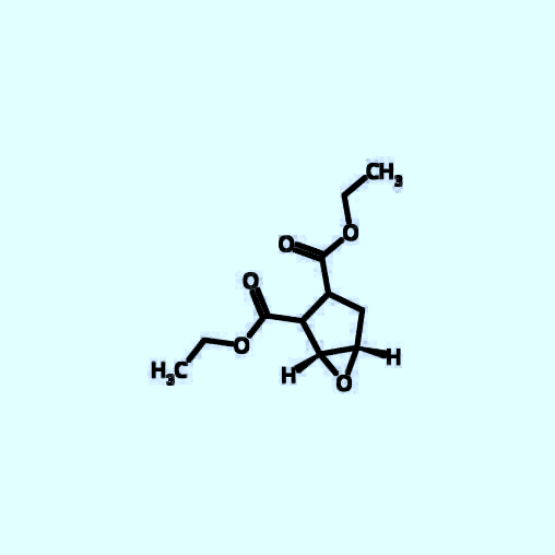 CCOC(=O)C1C[C@@H]2O[C@@H]2C1C(=O)OCC